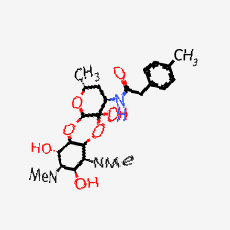 CN[C@@H]1[C@H](O)[C@H](NC)C2O[C@]3(O)C(OC2[C@H]1O)O[C@H](C)C[C@H]3NC(=O)Cc1ccc(C)cc1